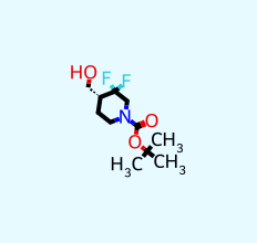 CC(C)(C)OC(=O)N1CC[C@H](CO)C(F)(F)C1